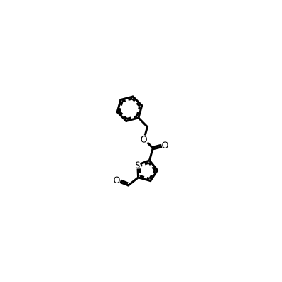 O=Cc1ccc(C(=O)OCc2ccccc2)s1